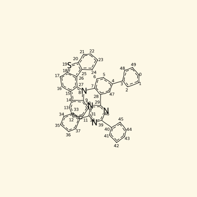 c1ccc(-c2ccc(-n3c4ccccc4c4ccc5sc6ccccc6c5c43)c(-c3nc(-c4ccccc4)nc(-c4ccccc4)n3)c2)cc1